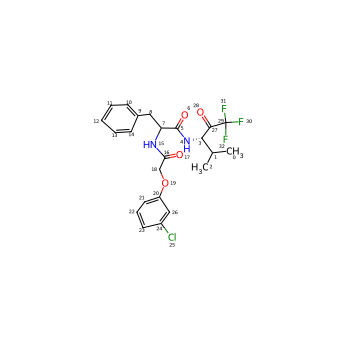 CC(C)[C@H](NC(=O)C(Cc1ccccc1)NC(=O)COc1cccc(Cl)c1)C(=O)C(F)(F)F